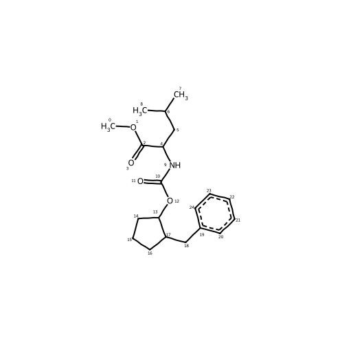 COC(=O)C(CC(C)C)NC(=O)OC1CCCC1Cc1ccccc1